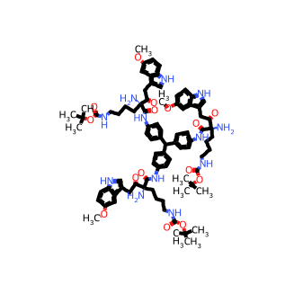 COc1ccc2[nH]cc(CC(=O)[C@](N)(CCCCNC(=O)OC(C)(C)C)C(=O)Nc3ccc(C(c4ccc(NC(=O)[C@@](N)(CCCCNC(=O)OC(C)(C)C)C(=O)Cc5c[nH]c6ccc(OC)cc56)cc4)c4ccc(NC(=O)[C@@](N)(CCCCNC(=O)OC(C)(C)C)C(=O)Cc5c[nH]c6ccc(OC)cc56)cc4)cc3)c2c1